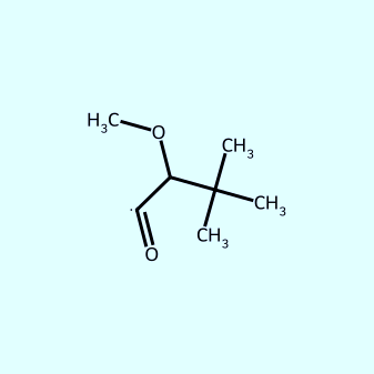 COC([C]=O)C(C)(C)C